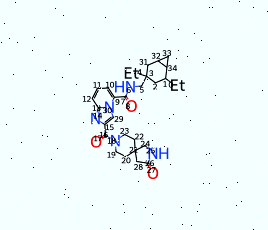 CCC1CC(CC)(CNC(=O)c2cccc3nc(C(=O)N4CCC5(CC4)CNC(=O)C5)cn23)CC2CC12